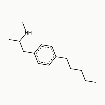 CCCCCc1ccc(CC(C)NC)cc1